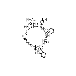 CC(=O)NCC(=O)NC1CCC(=O)NCCCC(C(=O)O)NC(=O)[C@H](Cc2c[nH]c3ccccc23)NC(=O)CNC(=O)C(Cc2ccccc2)NC(=O)[C@H](Cc2c[nH]cn2)NC1=O